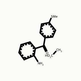 CC(=O)O.CSc1ccc(C(=O)c2ccccc2N)cc1